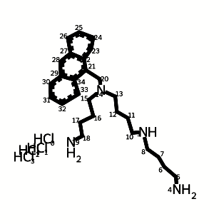 Cl.Cl.Cl.Cl.NCCCCNCCCCN(CCCCN)Cc1c2ccccc2cc2ccccc12